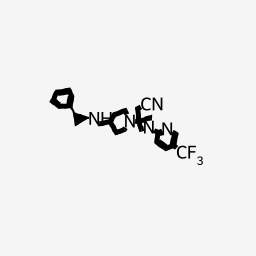 N#CCC1(N2CCC(CN[C@@H]3C[C@H]3c3ccccc3)CC2)CN(c2ccc(C(F)(F)F)cn2)C1